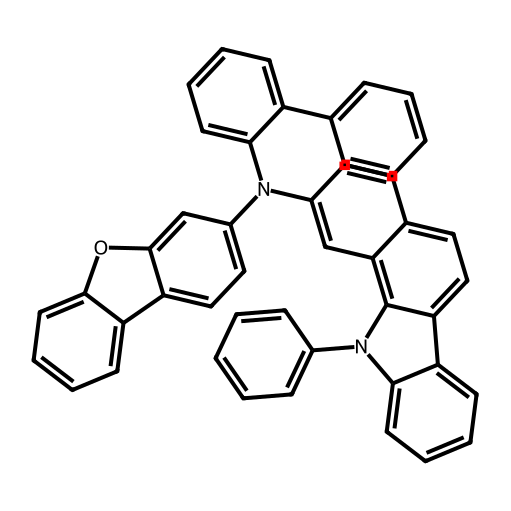 c1ccc(-c2ccccc2N(c2ccc3c(c2)oc2ccccc23)c2ccc3ccc4c5ccccc5n(-c5ccccc5)c4c3c2)cc1